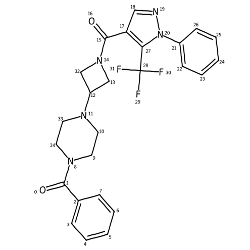 O=C(c1ccccc1)N1CCN(C2CN(C(=O)c3cnn(-c4ccccc4)c3C(F)(F)F)C2)CC1